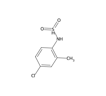 Cc1cc(Cl)ccc1N[SH](=O)=O